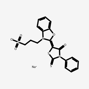 O=C1C(=C2Oc3ccccc3N2CCCS(=O)(=O)[O-])SC(=S)N1c1ccccc1.[Na+]